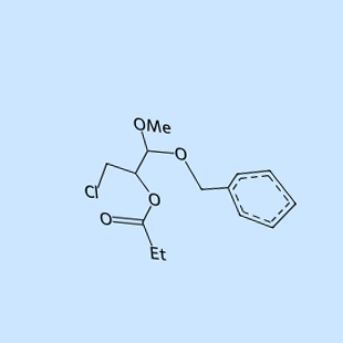 CCC(=O)OC(CCl)C(OC)OCc1ccccc1